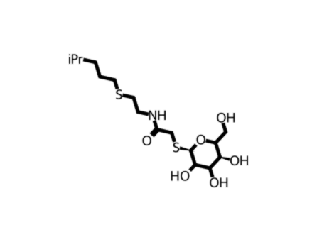 CC(C)CCCSCCNC(=O)CS[C@H]1OC(CO)[C@@H](O)C(O)C1O